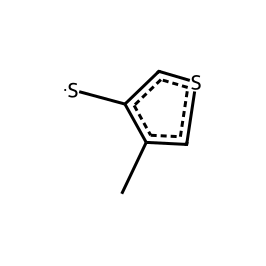 Cc1cscc1[S]